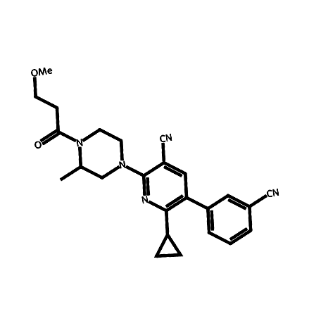 COCCC(=O)N1CCN(c2nc(C3CC3)c(-c3cccc(C#N)c3)cc2C#N)CC1C